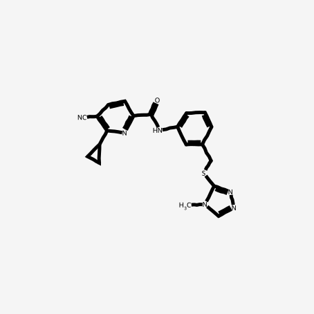 Cn1cnnc1SCc1cccc(NC(=O)c2ccc(C#N)c(C3CC3)n2)c1